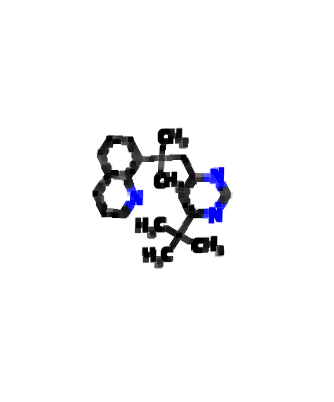 CC(C)(C)c1cc(CC(C)(C)c2cccc3cccnc23)ncn1